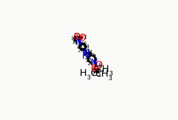 CC(C)(C)OC(=O)N1CCc2cn(-c3ccc(N4CCOC4=O)cc3)nc2CC1